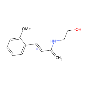 C=C(/C=C/c1ccccc1OC)NCCO